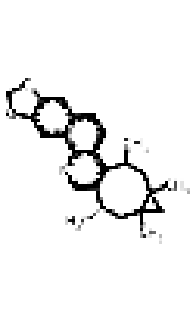 CC1CC2(C)CC2(C)C[C@H](C)c2cnc3c(ccc4cc5c(cc43)OCO5)c21